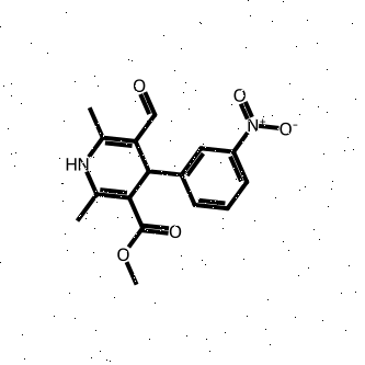 COC(=O)C1=C(C)NC(C)=C(C=O)C1c1cccc([N+](=O)[O-])c1